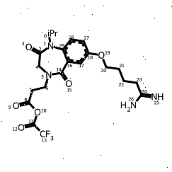 CC(C)N1C(=O)CN(CCC(=O)OC(=O)C(F)(F)F)C(=O)c2cc(OCCCCC(=N)N)ccc21